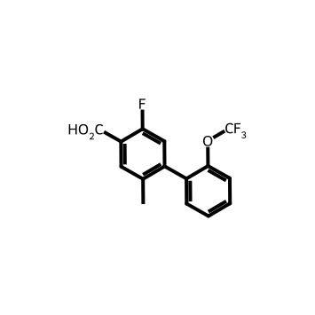 Cc1cc(C(=O)O)c(F)cc1-c1ccccc1OC(F)(F)F